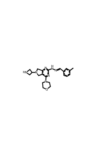 Cc1cccc(/C=N/Nc2nc3c(c(N4CCOCC4)n2)CN(C2CNC2)C3)c1